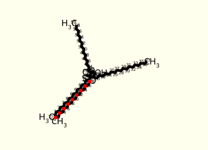 CCCCCCCCCCCCCCCCCCOC(CCCCCCCCCCCCCCCCCC)(C(O)=S)C(CCCCCCCCCCCCCCCCCC)(CCCCCCCCCCCCCCCCCC)C(O)=S